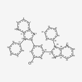 Clc1cc(-c2nc3cccnc3n2-c2ccccc2)cc(-c2nc3cccnc3n2-c2ccccc2)c1